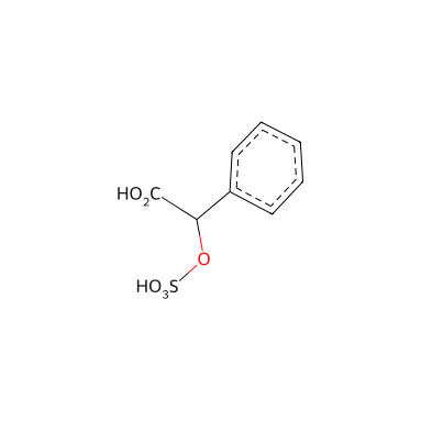 O=C(O)C(OS(=O)(=O)O)c1ccccc1